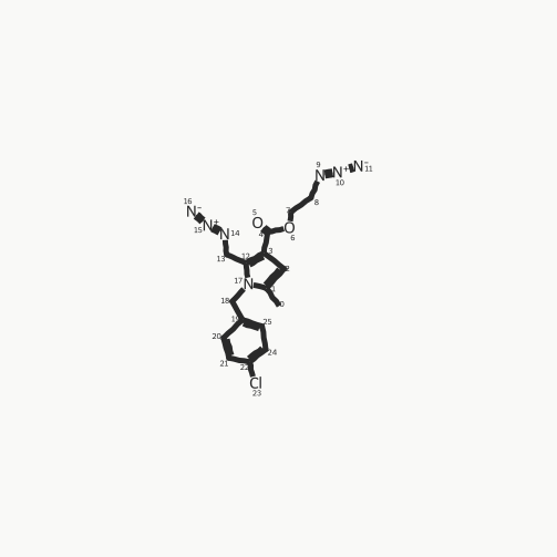 Cc1cc(C(=O)OCCN=[N+]=[N-])c(CN=[N+]=[N-])n1Cc1ccc(Cl)cc1